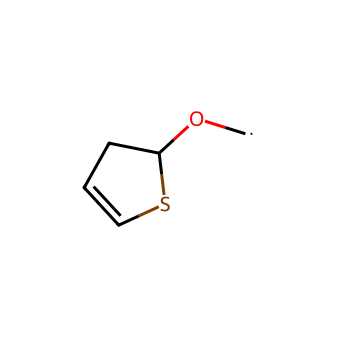 [CH2]OC1CC=CS1